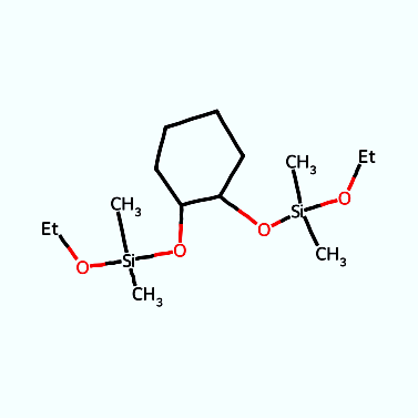 CCO[Si](C)(C)OC1CCCCC1O[Si](C)(C)OCC